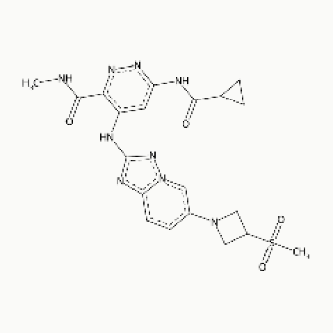 CNC(=O)c1nnc(NC(=O)C2CC2)cc1Nc1nc2ccc(N3CC(S(C)(=O)=O)C3)cn2n1